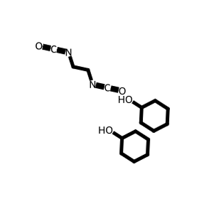 O=C=NCCN=C=O.OC1CCCCC1.OC1CCCCC1